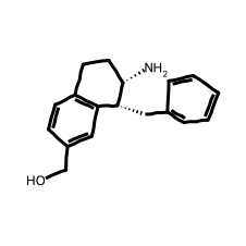 N[C@H]1CCc2ccc(CO)cc2[C@H]1Cc1ccccc1